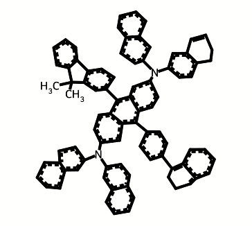 CC1(C)c2ccccc2-c2ccc(-c3c4ccc(N(c5ccc6ccccc6c5)c5ccc6ccccc6c5)cc4c(-c4ccc(C5=c6ccccc6=CCC5)cc4)c4ccc(N(c5ccc6c(c5)C=CCC6)c5ccc6ccccc6c5)cc34)cc21